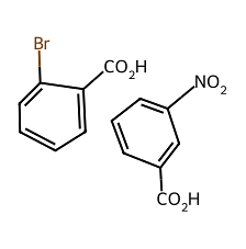 O=C(O)c1cccc([N+](=O)[O-])c1.O=C(O)c1ccccc1Br